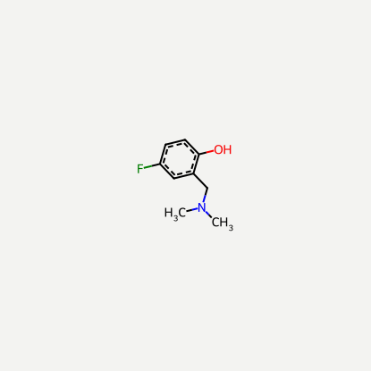 CN(C)Cc1cc(F)ccc1O